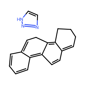 C1=c2ccc3c(c2CCC1)CC=c1ccccc1=3.c1c[nH]nn1